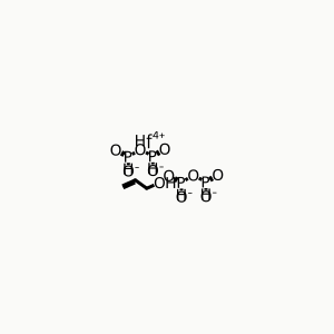 C=CCO.O=[PH]([O-])O[PH](=O)[O-].O=[PH]([O-])O[PH](=O)[O-].[Hf+4]